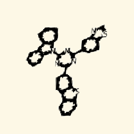 c1ccc2c(c1)sc1cc(-c3nc(-c4ccc5scnc5c4)nc(-n4c5ccccc5c5ccccc54)n3)ccc12